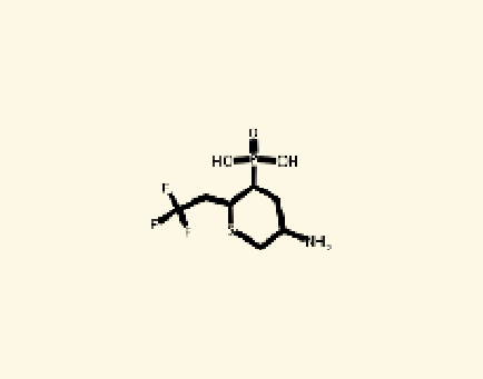 NC1CSC(CC(F)(F)F)C(P(=O)(O)O)C1